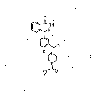 O=C(c1cc(-c2n[nH]c(=O)c3ccccc23)ccc1F)N1CCN(C(=O)C2CC2)CC1